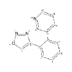 c1ccc(-c2conn2)cc1.c1ccncc1